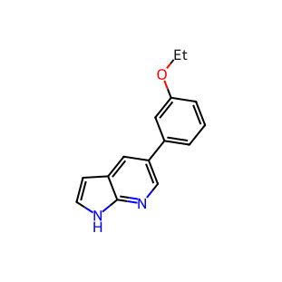 CCOc1cccc(-c2cnc3[nH]ccc3c2)c1